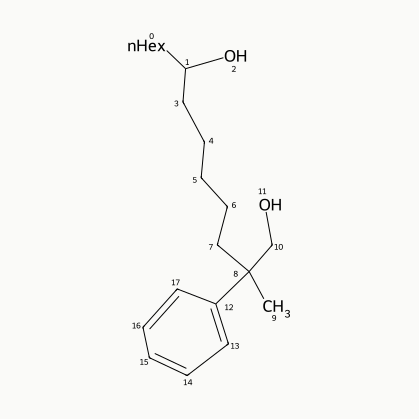 CCCCCCC(O)CCCCCC(C)(CO)c1ccccc1